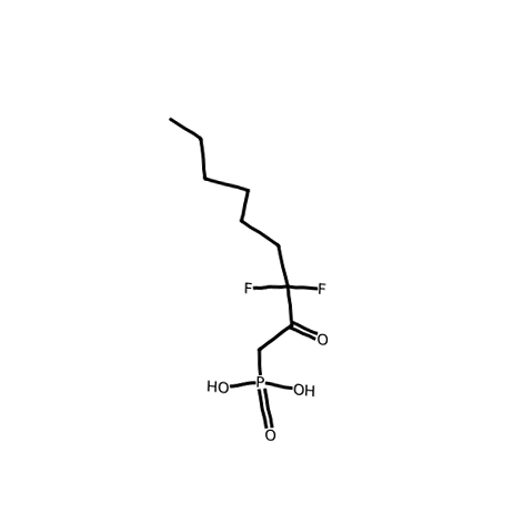 CCCCCCC(F)(F)C(=O)CP(=O)(O)O